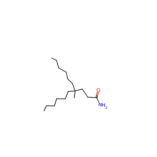 CCCCCCC(C)(CCCCCC)CCC(N)=O